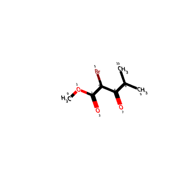 COC(=O)C(Br)C(=O)C(C)C